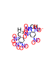 CN(c1c([N+](=O)[O-])cc([N+](=O)[O-])cc1[N+](=O)[O-])[N+](=O)[O-].Cc1ccc([N+](=O)[O-])c([N+](=O)[O-])c1[N+](=O)[O-]